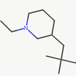 CCN1CCCC(CC(C)(C)C)C1